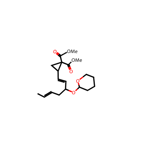 CC=CCC(/C=C/C1CC1(C(=O)OC)C(=O)OC)OC1CCCCO1